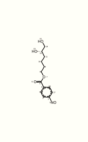 O=Nc1ccc(C(=O)OCCCC[C@H](O)CO)cc1